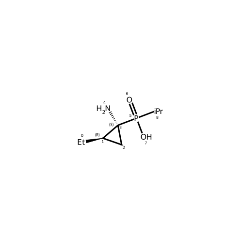 CC[C@@H]1C[C@]1(N)P(=O)(O)C(C)C